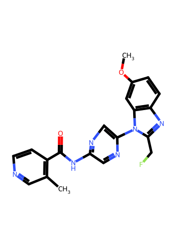 COc1ccc2nc(CF)n(-c3cnc(NC(=O)c4ccncc4C)cn3)c2c1